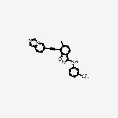 Cc1ccc2c(Nc3cccc(C(F)(F)F)c3)noc2c1C#Cc1ccc2cncn2c1